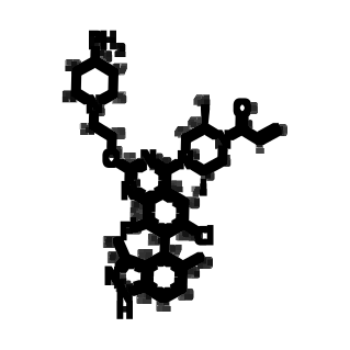 C=CC(=O)N1C[C@H](C)N(c2nc(OCCN3CCC(P)CC3)nc3c(F)c(-c4c(C)ccc5[nH]nc(C)c45)c(Cl)cc23)C[C@H]1C